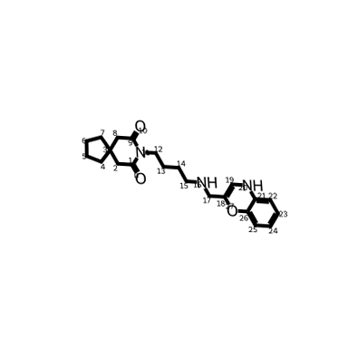 O=C1CC2(CCCC2)CC(=O)N1CCCCNCC1=CNc2ccccc2O1